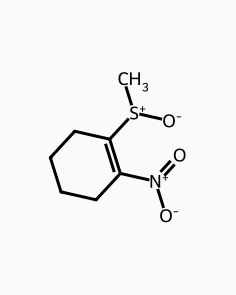 C[S+]([O-])C1=C([N+](=O)[O-])CCCC1